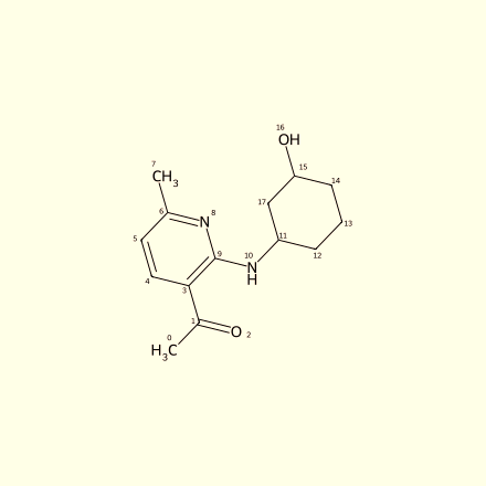 CC(=O)c1ccc(C)nc1NC1CCCC(O)C1